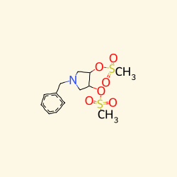 CS(=O)(=O)OC1CN(Cc2ccccc2)CC1OS(C)(=O)=O